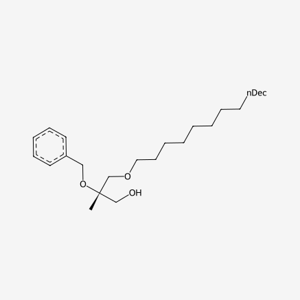 CCCCCCCCCCCCCCCCCCOC[C@](C)(CO)OCc1ccccc1